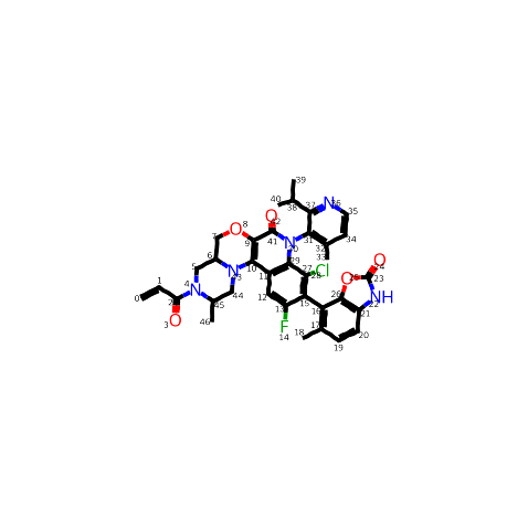 C=CC(=O)N1CC2COc3c(c4cc(F)c(-c5c(C)ccc6[nH]c(=O)oc56)c(Cl)c4n(-c4c(C)ccnc4C(C)C)c3=O)N2CC1C